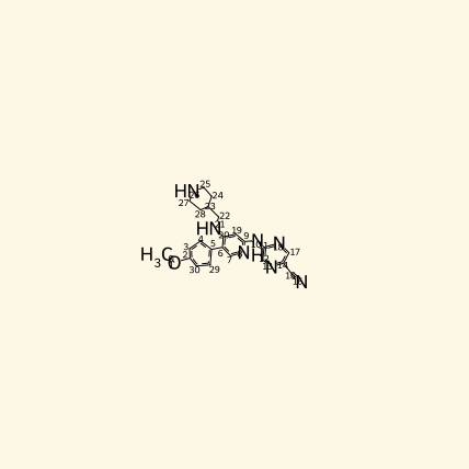 COc1ccc(-c2cnc(Nc3cnc(C#N)cn3)cc2NCC2CCNCC2)cc1